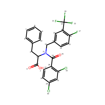 O=C(O)C(Cc1ccccc1)N(Cc1ccc(F)c(C(F)(F)F)c1)C(=O)c1ccc(Cl)cc1Cl